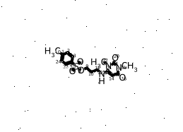 Cc1ccc(S(=O)(=O)OCCCNc2cc(=O)n(C)c(=O)n2C)cc1